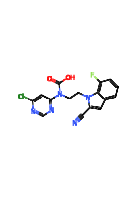 N#Cc1cc2cccc(F)c2n1CCN(C(=O)O)c1cc(Cl)ncn1